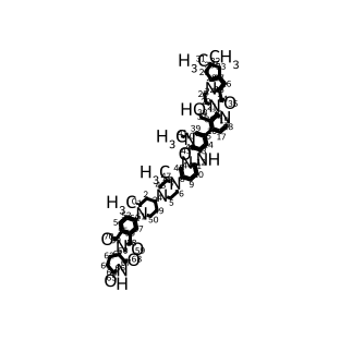 C[C@H]1C[C@H](N2CCN(c3ccc(Nc4cc(-c5ccnc(N6CCn7c(cc8c7CC(C)(C)C8)C6=O)c5CO)cn(C)c4=O)nc3)[C@@H](C)C2)CCN1c1ccc2c(c1)C(=O)N(C1CCC(=O)NC1=O)C2=O